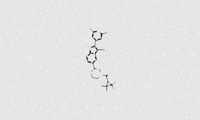 Cc1cc(-c2[nH]c3ccc(C4CCCN(C(=O)C5C(C)(C)C5(C)C)C4)cc3c2C(C)C)cc(C)n1